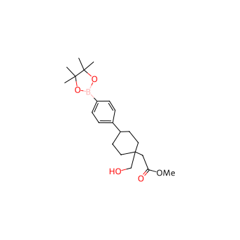 COC(=O)CC1(CO)CCC(c2ccc(B3OC(C)(C)C(C)(C)O3)cc2)CC1